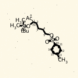 CC(=O)[C@H](CCCCOS(=O)(=O)c1ccc(C)cc1)O[Si](C)(C)C(C)(C)C